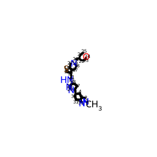 Cn1cc2cc(-c3ccc(NCc4csc5c4CCN(CC4CCOCC4)C5)nn3)ccc2n1